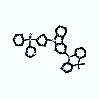 CC1(C)c2ccccc2N(c2ccc3c(c2)c2ccccc2n3-c2ccc(P(=O)(c3ccccc3)c3cccnc3)cc2)c2ccccc21